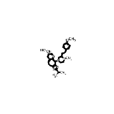 COc1ccc(CCC2CN(C3=c4ncccc4=CCc4sc(C(C)C)nc43)CCN2C)cc1.Cl.Cl